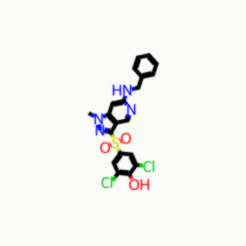 Cn1nc(S(=O)(=O)c2cc(Cl)c(O)c(Cl)c2)c2cnc(NCc3ccccc3)cc21